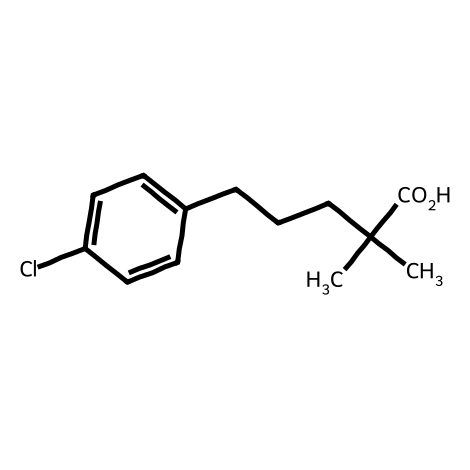 CC(C)(CCCc1ccc(Cl)cc1)C(=O)O